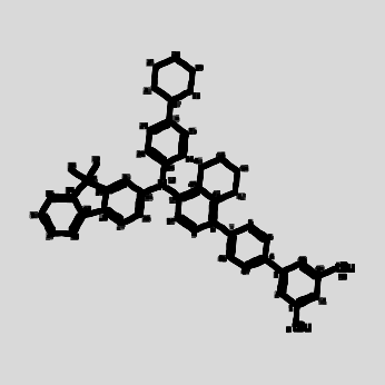 CC(C)(C)c1cc(-c2ccc(-c3ccc(N(c4ccc(C5CCCCC5)cc4)c4ccc5c(c4)C(C)(C)c4ccccc4-5)c4c3CCCC4)cc2)cc(C(C)(C)C)c1